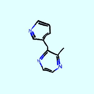 Cc1nccnc1-c1cccnc1